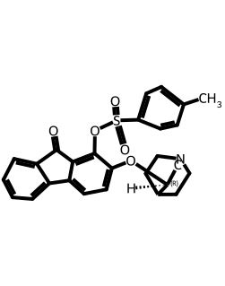 Cc1ccc(S(=O)(=O)Oc2c(O[C@H]3CN4CCC3CC4)ccc3c2C(=O)c2ccccc2-3)cc1